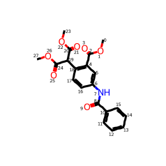 COC(=O)c1cc(NC(=O)c2ccccc2)ccc1C(C(=O)OC)C(=O)OC